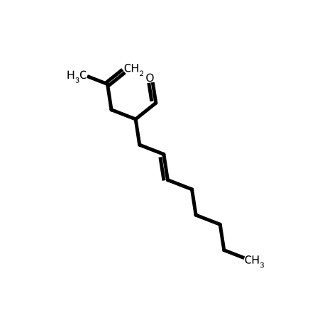 C=C(C)CC(C=O)C/C=C/CCCCC